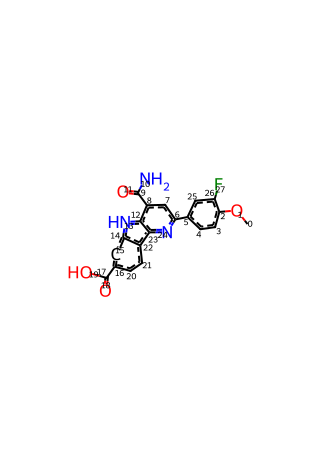 COc1ccc(-c2cc(C(N)=O)c3[nH]c4cc(C(=O)O)ccc4c3n2)cc1F